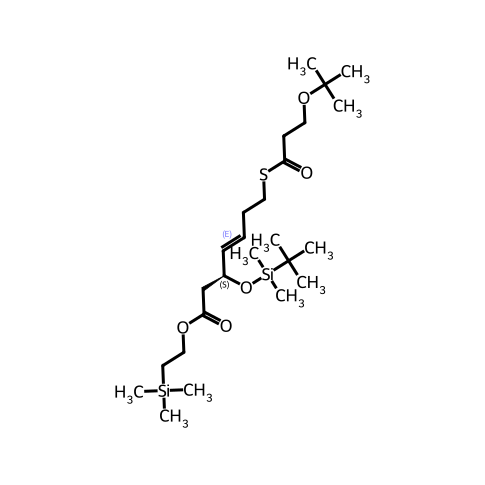 CC(C)(C)OCCC(=O)SCC/C=C/[C@H](CC(=O)OCC[Si](C)(C)C)O[Si](C)(C)C(C)(C)C